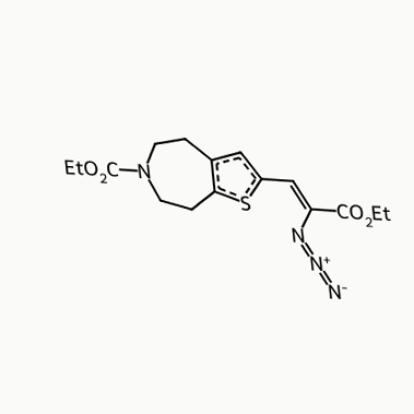 CCOC(=O)C(=Cc1cc2c(s1)CCN(C(=O)OCC)CC2)N=[N+]=[N-]